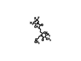 COCCN(C(=O)C(C)C)C(C)CCCC(=O)N(CC(F)(F)F)C(C)C